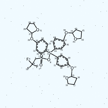 O=S(=O)(CC(F)(F)F)OS(c1ccc(OC2CCCO2)cc1)(c1ccc(OC2CCCO2)cc1)c1ccc(OC2CCCO2)cc1